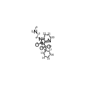 CN(C)CCn1c(=O)n(S(=O)(=O)c2ccccc2)c2ncccc21